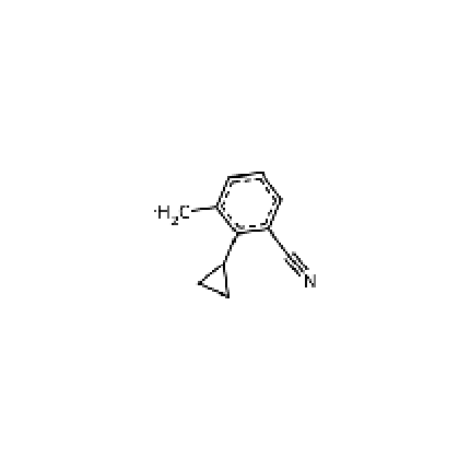 [CH2]c1cccc(C#N)c1C1CC1